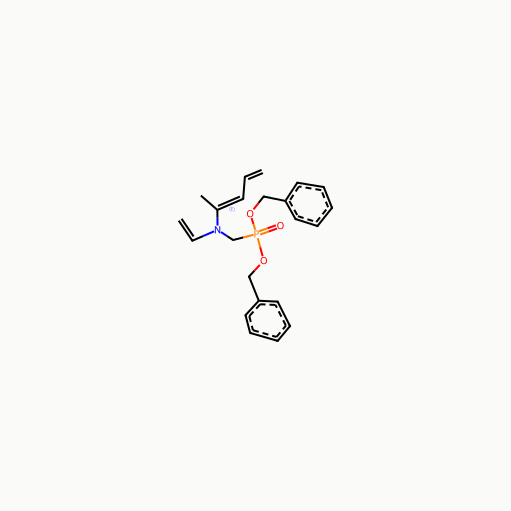 C=C/C=C(\C)N(C=C)CP(=O)(OCc1ccccc1)OCc1ccccc1